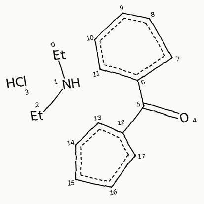 CCNCC.Cl.O=C(c1ccccc1)c1ccccc1